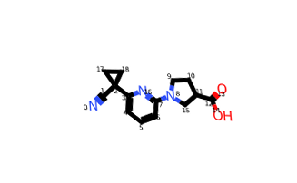 N#CC1(c2cccc(N3CCC(C(=O)O)C3)n2)CC1